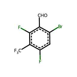 O=Cc1c(Br)cc(F)c(C(F)(F)F)c1F